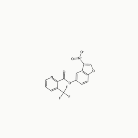 O=C(Oc1ccc2occ([N+](=O)[O-])c2c1)c1ncccc1C(F)(F)F